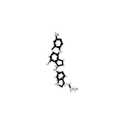 Cc1cc(C#N)ccc1Oc1ccc(F)c2c1CC[C@H]2Oc1ccc2c(c1)OC[C@H]2CC(=O)O